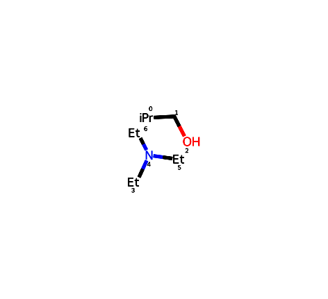 CC(C)CO.CCN(CC)CC